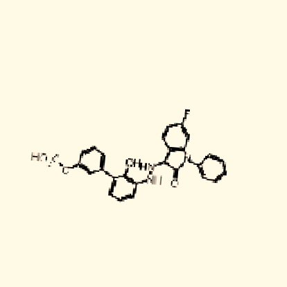 O=C(O)Oc1cccc(-c2cccc(NNC3C(=O)N(c4ccccc4)c4cc(F)ccc43)c2O)c1